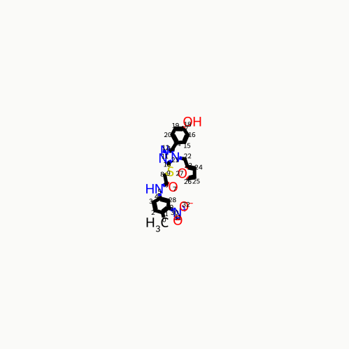 Cc1ccc(NC(=O)CSc2nnc(-c3ccc(O)cc3)n2Cc2ccco2)cc1[N+](=O)[O-]